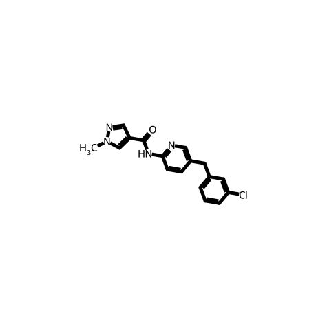 Cn1cc(C(=O)Nc2ccc(Cc3cccc(Cl)c3)cn2)cn1